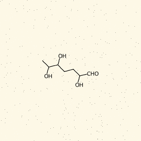 CC(O)C(O)CCC(O)C=O